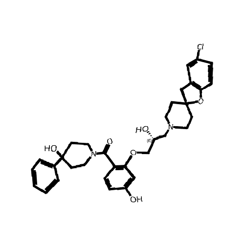 O=C(c1ccc(O)cc1OC[C@H](O)CN1CCC2(CC1)Cc1cc(Cl)ccc1O2)N1CCC(O)(c2ccccc2)CC1